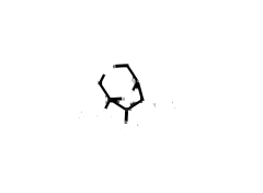 CC(=O)OC1[C@@H](OC(C)=O)C2COCC1(OC(C)=O)O2